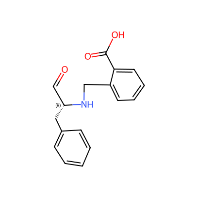 O=C[C@@H](Cc1ccccc1)NCc1ccccc1C(=O)O